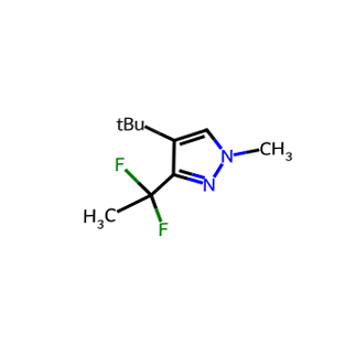 Cn1cc(C(C)(C)C)c(C(C)(F)F)n1